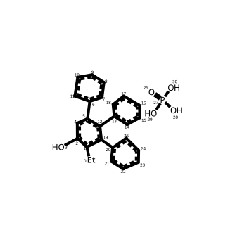 CCc1c(O)cc(-c2ccccc2)c(-c2ccccc2)c1-c1ccccc1.O=P(O)(O)O